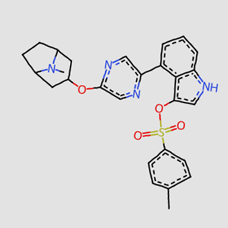 Cc1ccc(S(=O)(=O)Oc2c[nH]c3cccc(-c4cnc(OC5CC6CCC(C5)N6C)cn4)c23)cc1